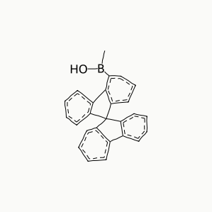 CB(O)c1cccc2c1-c1ccccc1C21c2ccccc2-c2ccccc21